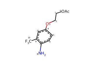 CC(=O)OCCOc1ccc(N)c(C(F)(F)F)c1